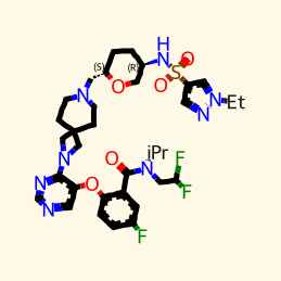 CCn1cc(S(=O)(=O)N[C@@H]2CC[C@@H](CN3CCC4(CC3)CN(c3ncncc3Oc3ccc(F)cc3C(=O)N(CC(F)F)C(C)C)C4)OC2)cn1